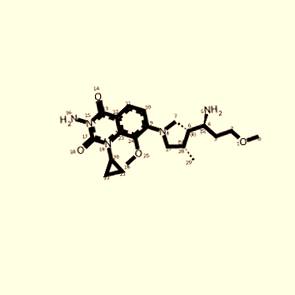 COCC[C@H](N)[C@H]1CN(c2ccc3c(=O)n(N)c(=O)n(C4CC4)c3c2OC)C[C@H]1C